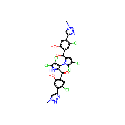 Cn1cc(-c2cc(O)c(C(=O)c3[nH]c(Cl)c(Cl)c3-n3c(C(=O)c4cc(Cl)c(-c5cn(C)nn5)cc4O)cc(Cl)c3Cl)cc2Cl)nn1